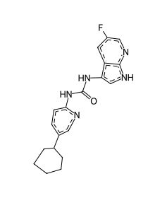 O=C(Nc1ccc(C2CCCCC2)cn1)Nc1c[nH]c2ncc(F)cc12